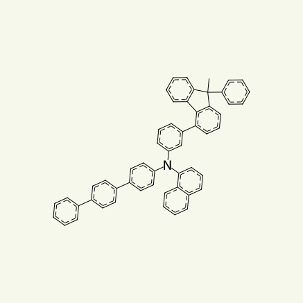 CC1(c2ccccc2)c2ccccc2-c2c(-c3cccc(N(c4ccc(-c5ccc(-c6ccccc6)cc5)cc4)c4cccc5ccccc45)c3)cccc21